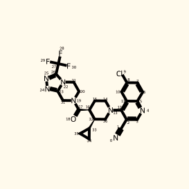 N#Cc1cnc2ccc(Cl)cc2c1N1CC[C@H](C(=O)N2CCn3c(nnc3C(F)(F)F)C2)[C@H](C2CC2)C1